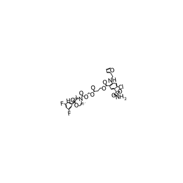 C[C@@H]1CO[C@](O)(c2cc(F)cc(F)c2)[C@@H](C)N1C(=O)OCOC(=O)CCOC(=O)c1cc(S(N)(=O)=O)c(Cl)cc1NCc1ccco1